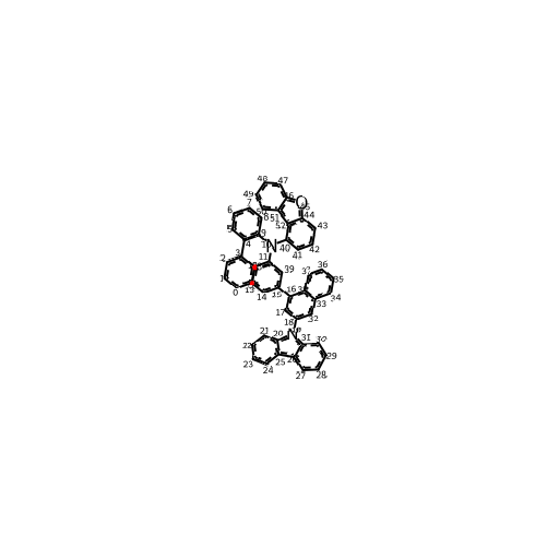 c1ccc(-c2ccccc2N(c2cccc(-c3cc(-n4c5ccccc5c5ccccc54)cc4ccccc34)c2)c2cccc3oc4ccccc4c23)cc1